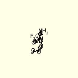 C=CC(=O)CCC(=O)N1CCN(Cc2cc3c(N4CCOCC4)nc(-c4cnc(N)cc4C(F)(F)F)nn3c2)CC1